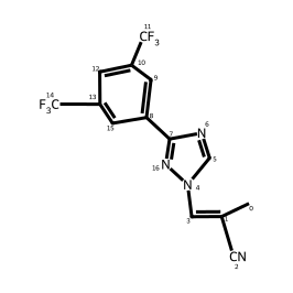 C/C(C#N)=C\n1cnc(-c2cc(C(F)(F)F)cc(C(F)(F)F)c2)n1